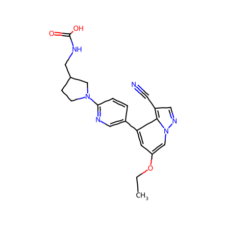 CCOc1cc(-c2ccc(N3CCC(CNC(=O)O)C3)nc2)c2c(C#N)cnn2c1